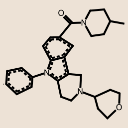 CC1CCN(C(=O)c2ccc3c(c2)c2c(n3-c3cc[c]cc3)CCN(C3CCOCC3)C2)CC1